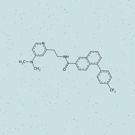 CN(C)c1ccnc(CCNC(=O)c2ccc3c(-c4ccc(C(F)(F)F)cc4)cccc3c2)c1